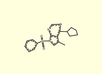 O=S(=O)(c1ccccc1)n1cc(I)c2c(C3CCCC3)ncnc21